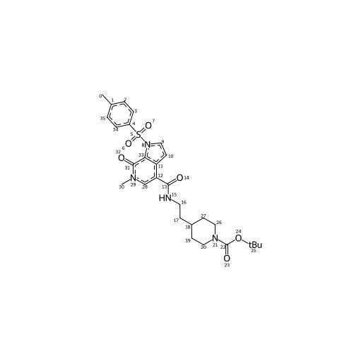 Cc1ccc(S(=O)(=O)n2ccc3c(C(=O)NCCC4CCN(C(=O)OC(C)(C)C)CC4)cn(C)c(=O)c32)cc1